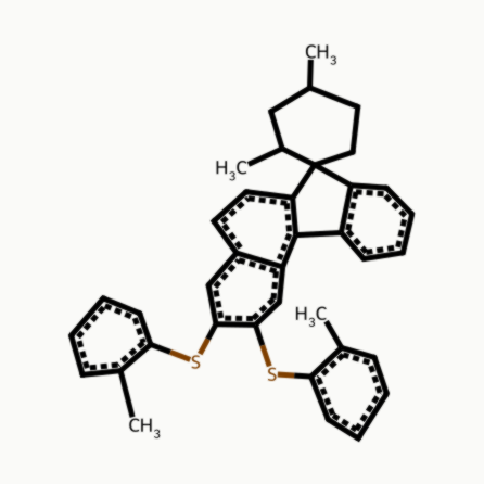 Cc1ccccc1Sc1cc2ccc3c(c2cc1Sc1ccccc1C)-c1ccccc1C31CCC(C)CC1C